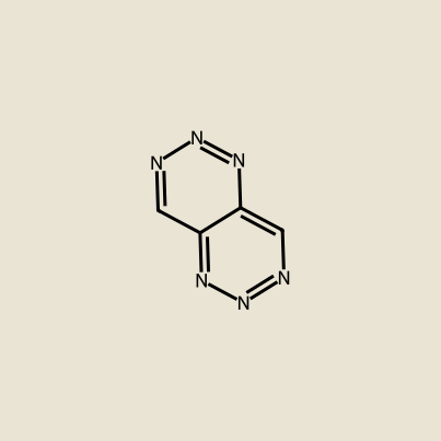 c1nnnc2cnnnc12